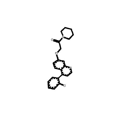 O=C(COc1ccc2c(-c3ccccc3Cl)ccnc2c1)N1CCCCC1